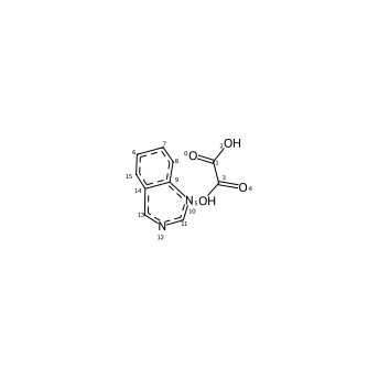 O=C(O)C(=O)O.c1ccc2ncncc2c1